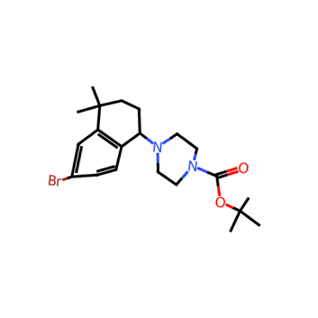 CC(C)(C)OC(=O)N1CCN(C2CCC(C)(C)c3cc(Br)ccc32)CC1